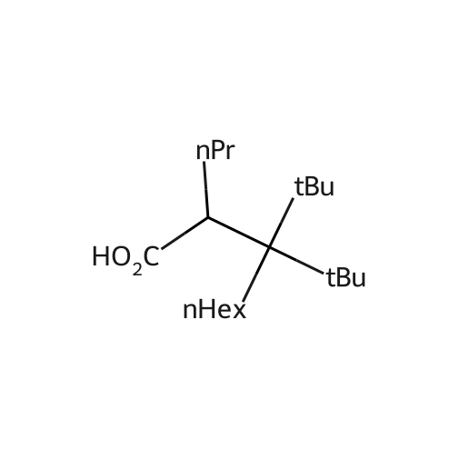 CCCCCCC(C(CCC)C(=O)O)(C(C)(C)C)C(C)(C)C